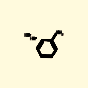 Br.Br.[AlH2][c]1ccccc1